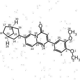 COc1ccc(-c2cc(=O)n3cc(C4C[C@H]5CC[C@@H](C4)C5)ccc3n2)cc1OC